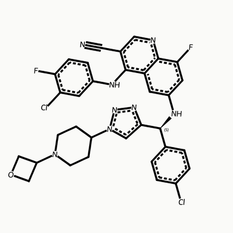 N#Cc1cnc2c(F)cc(N[C@@H](c3ccc(Cl)cc3)c3cn(C4CCN(C5COC5)CC4)nn3)cc2c1Nc1ccc(F)c(Cl)c1